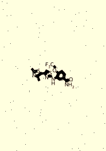 Cc1nc(C)c(-c2csc(Nc3cc(C(N)=O)ccc3OCC(F)(F)F)n2)s1